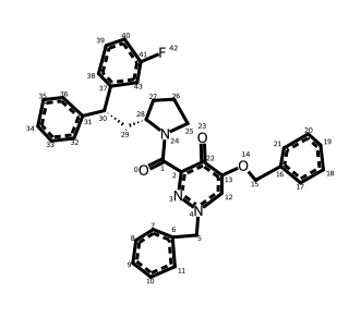 O=C(c1nn(Cc2ccccc2)cc(OCc2ccccc2)c1=O)N1CCC[C@H]1[CH][C@H](c1ccccc1)c1cccc(F)c1